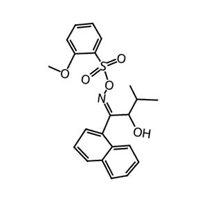 COc1ccccc1S(=O)(=O)O/N=C(/c1cccc2ccccc12)C(O)C(C)C